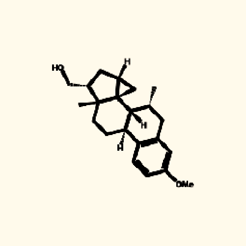 COc1ccc2c(c1)C[C@@H](C)[C@@H]1[C@@H]2CC[C@]2(C)[C@H](CO)C[C@@H]3C[C@@]312